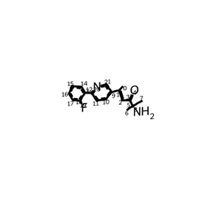 C/C(=C\C(=O)C(C)(C)N)c1ccc(-c2ccccc2F)nc1